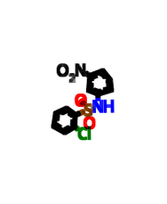 O=[N+]([O-])c1cccc(NS(=O)(=O)c2ccccc2Cl)c1